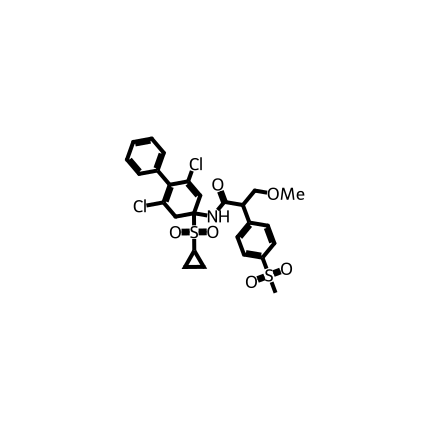 COCC(C(=O)NC1(S(=O)(=O)C2CC2)C=C(Cl)C(c2ccccc2)=C(Cl)C1)c1ccc(S(C)(=O)=O)cc1